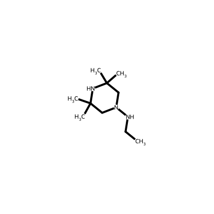 CCNN1CC(C)(C)NC(C)(C)C1